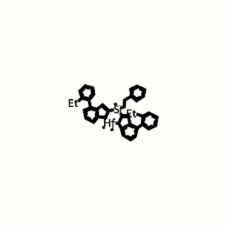 CCc1ccccc1-c1cccc2c1C=C1[CH]2[Hf]([CH3])([CH3])[CH]2C(=Cc3c(-c4ccccc4CC)cccc32)[Si]1(C)CCc1ccccc1